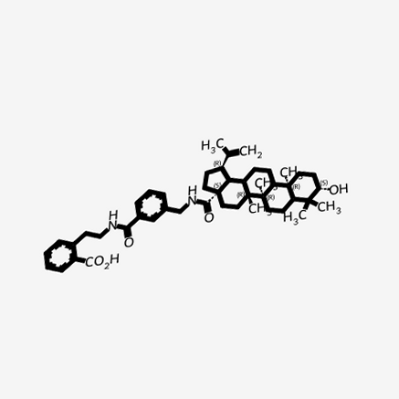 C=C(C)[C@@H]1CC[C@]2(C(=O)NCc3cccc(C(=O)NCCc4ccccc4C(=O)O)c3)CC[C@]3(C)C(CCC4[C@@]5(C)CC[C@H](O)C(C)(C)C5CC[C@]43C)C12